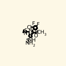 COC(=O)C1=C2CC(NSN)CN2C(c2nccs2)=N[C@@H]1c1ccc(F)c(F)c1Cl